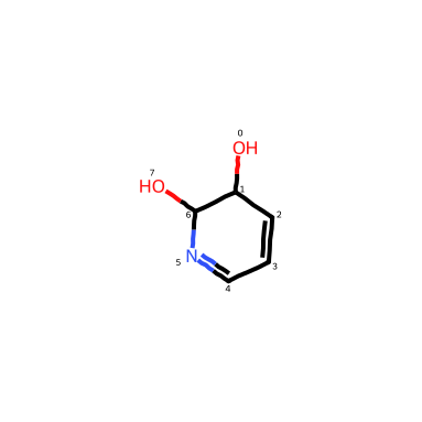 OC1C=CC=NC1O